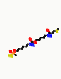 CSCCC(=O)NCCCCCOC(=O)NCCCCCCOP(C)(=O)S